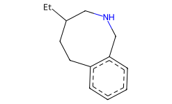 CCC1CCc2ccccc2CNC1